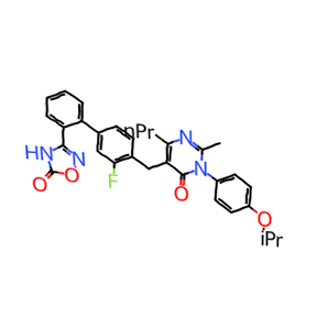 CCCc1nc(C)n(-c2ccc(OC(C)C)cc2)c(=O)c1Cc1ccc(-c2ccccc2-c2noc(=O)[nH]2)cc1F